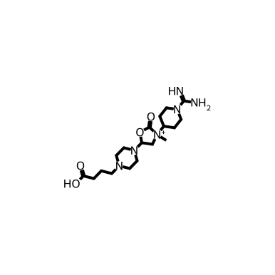 C[N+]1(C2CCN(C(=N)N)CC2)CC(N2CCN(CCCC(=O)O)CC2)OC1=O